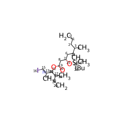 C=CCC(C)CCC(CC(=O)O[C@@H](/C(C)=C/I)[C@@H](C)C=C)O[Si](C)(C)C(C)(C)C